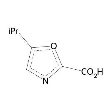 CC(C)c1cnc(C(=O)O)o1